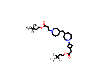 CCC(C)(C)CCOC(=O)CCN1CCCC(CC2CCCN(C3CC(CC(=O)OCCC(C)(CC)CC)C3)CC2)CC1